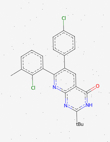 Cc1cccc(-c2nc3nc(C(C)(C)C)[nH]c(=O)c3cc2-c2ccc(Cl)cc2)c1Cl